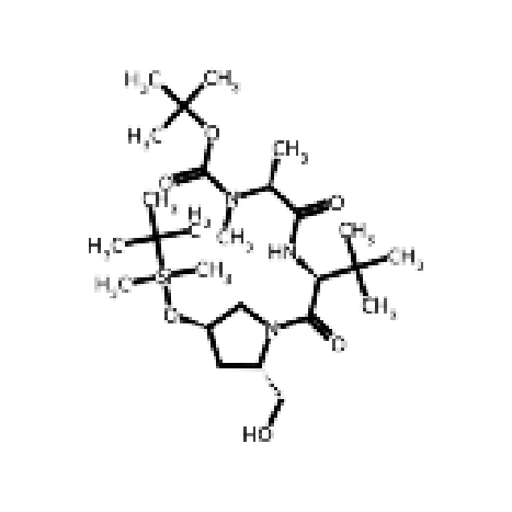 C[C@@H](C(=O)N[C@H](C(=O)N1C[C@H](O[Si](C)(C)C(C)(C)C)C[C@H]1CO)C(C)(C)C)N(C)C(=O)OC(C)(C)C